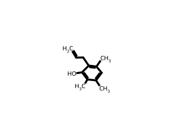 C=CCc1c(C)cc(C)c(C)c1O